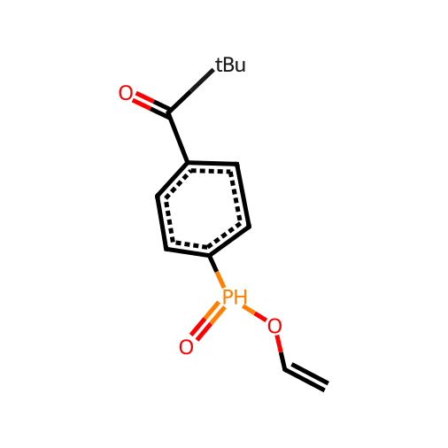 C=CO[PH](=O)c1ccc(C(=O)C(C)(C)C)cc1